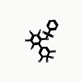 O=S(=O)(Nc1c(F)c(F)c(F)c(F)c1C1=CC(Cl)C(Cl)(Cl)C(Cl)=C1)c1ccccc1